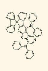 c1ccc(N(c2ccccc2)c2cncc3c2sc2cc4c(c(N(c5ccccc5)c5ccccc5)c23)-c2ccccc2C42c3ccccc3-c3ccccc32)cc1